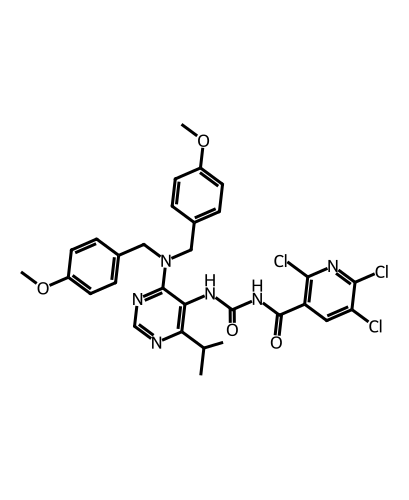 COc1ccc(CN(Cc2ccc(OC)cc2)c2ncnc(C(C)C)c2NC(=O)NC(=O)c2cc(Cl)c(Cl)nc2Cl)cc1